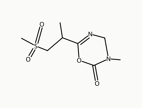 CC(CS(C)(=O)=O)C1=NCN(C)C(=O)O1